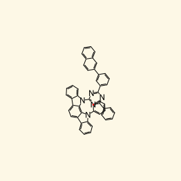 c1ccc(-c2nc(-c3cccc(-c4ccc5ccccc5c4)c3)nc(-n3c4ccccc4c4ccc5c6ccccc6n(-c6ccccc6)c5c43)n2)cc1